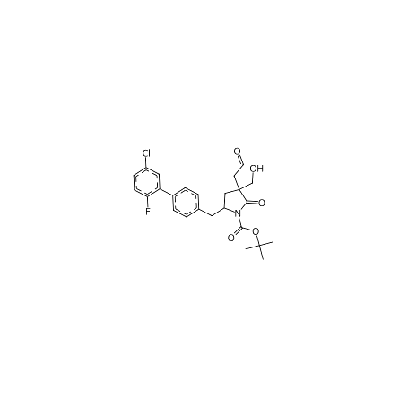 CC(C)(C)OC(=O)N1C(=O)C(CO)(CC=O)CC1Cc1ccc(-c2cc(Cl)ccc2F)cc1